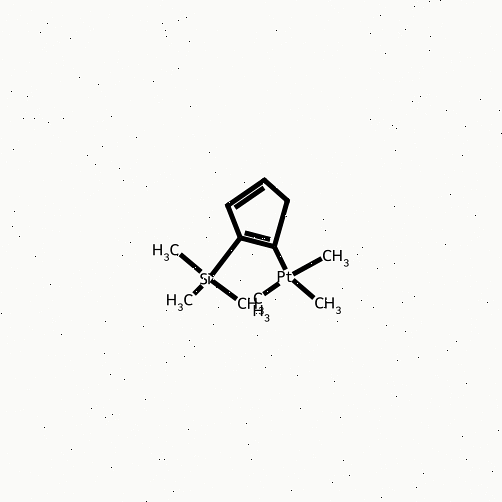 C[Si](C)(C)C1=[C]([Pt]([CH3])([CH3])[CH3])CC=C1